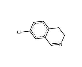 Clc1ccc2c(c1)C=NCC2